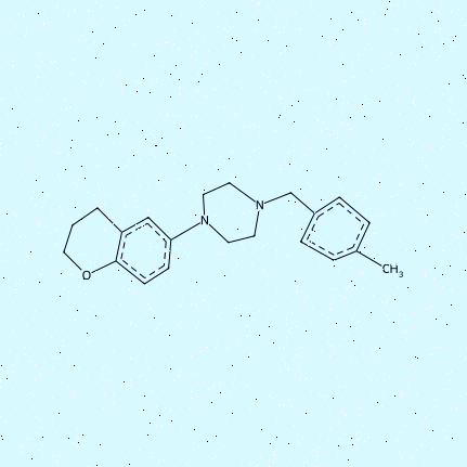 Cc1ccc(CN2CCN(c3ccc4c(c3)CCCO4)CC2)cc1